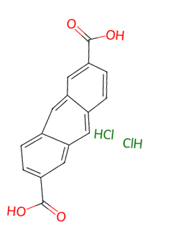 Cl.Cl.O=C(O)c1ccc2cc3cc(C(=O)O)ccc3cc2c1